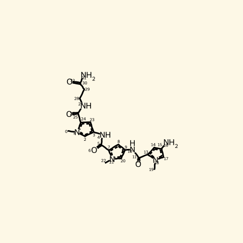 Cn1cc(NC(=O)c2cc(NC(=O)c3cc(N)cn3C)cn2C)cc1C(=O)NCCC(N)=O